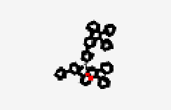 c1ccc(-c2ccc(N(c3ccc(-c4ccc5c(c4)c(-c4ccccc4)c(-c4ccccc4)c4ccccc45)cc3)c3ccc(-c4ccccc4)c(-c4ccccc4)c3)c(-c3ccccc3)c2)cc1